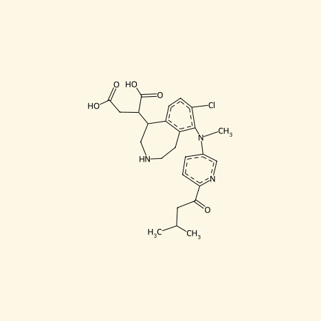 CC(C)CC(=O)c1ccc(N(C)c2c(Cl)ccc3c2CCNCC3C(CC(=O)O)C(=O)O)cn1